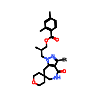 CCc1nn(C[C@@H](C)COC(=O)c2ccc(C)cc2C)c2c1C(=O)NCC1(CCOCC1)C2